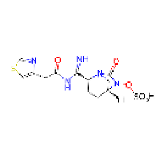 N=C(NC(=O)Cc1cscn1)[C@@H]1CC[C@@H]2CN1C(=O)N2OS(=O)(=O)O